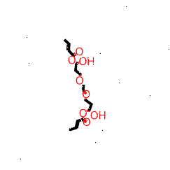 CC=CC(=O)OC(O)CCOCCOCCC(O)OC(=O)C=CC